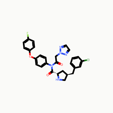 O=C(Cn1nccn1)N(C(=O)[C@@H]1C[C@@H](Cc2cccc(Cl)c2)CN1)c1ccc(Oc2ccc(F)cc2)cc1